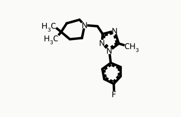 Cc1nc(CN2CCC(C)(C)CC2)nn1-c1ccc(F)cc1